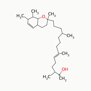 C=C(O)C(C)CC/C=C(\C)CCCC(C)CCCC1(C)CCC2C=CC(C)C(C)C2O1